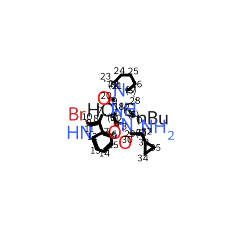 CCCC[C@@H](C(=O)O)N(C(=O)[C@H](Cc1c(Br)[nH]c2ccccc12)NC(=O)N1[C@H](C)CCC[C@@H]1C)C(=O)[C@@H](N)C1CC1